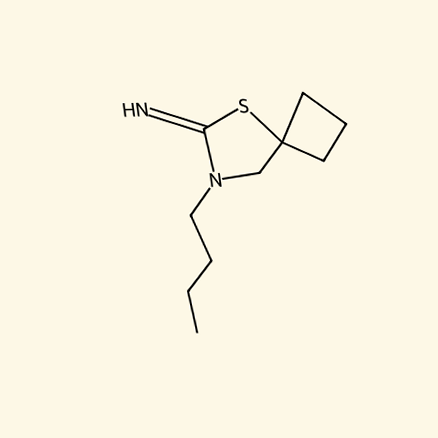 CCCCN1CC2(CCC2)SC1=N